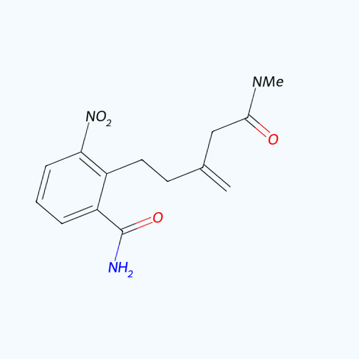 C=C(CCc1c(C(N)=O)cccc1[N+](=O)[O-])CC(=O)NC